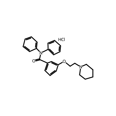 Cl.O=C(c1cccc(OCCN2CCCCC2)c1)N(c1ccccc1)c1ccccc1